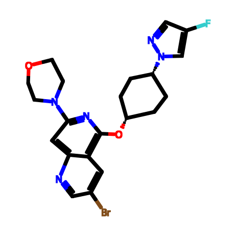 Fc1cnn([C@H]2CC[C@@H](Oc3nc(N4CCOCC4)cc4ncc(Br)cc34)CC2)c1